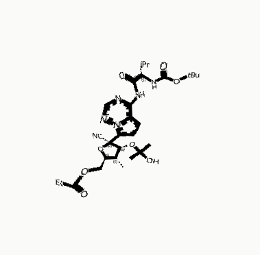 CCC(=O)OC[C@H]1O[C@@](C#N)(c2ccc3c(NC(=O)[C@@H](NC(=O)OC(C)(C)C)C(C)C)ncnn23)[C@H](OC(C)(C)O)[C@@H]1C